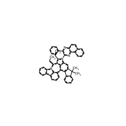 C=Cc1c2/c(=C\C)n3c4ccccc4c4cccc(c5c6c(cc(c25)n1-c1nc2c(ccc5ccccc52)nc1-c1ccccc1)C(C)(C)c1ccccc1-6)c43